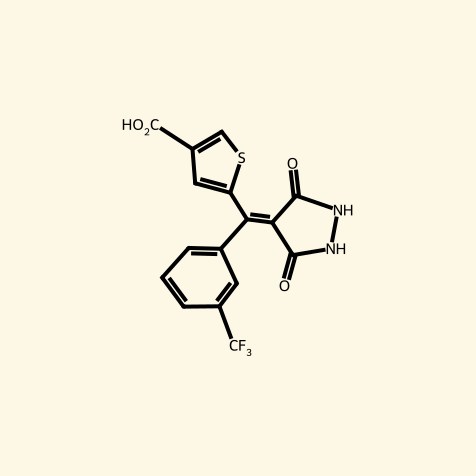 O=C1NNC(=O)C1=C(c1cccc(C(F)(F)F)c1)c1cc(C(=O)O)cs1